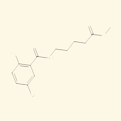 COC(=O)CCCCNC(=O)c1cc(N)ccc1O